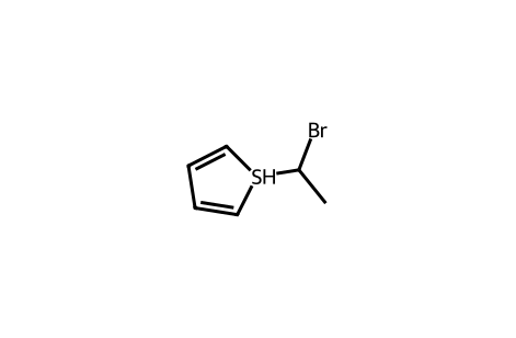 CC(Br)[SH]1C=CC=C1